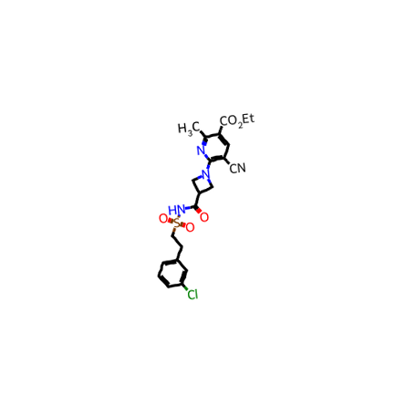 CCOC(=O)c1cc(C#N)c(N2CC(C(=O)NS(=O)(=O)CCc3cccc(Cl)c3)C2)nc1C